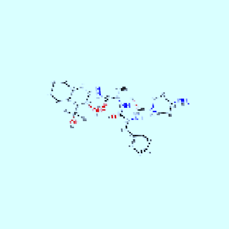 CCCC[C@H](NC(=O)[C@H](Cc1ccccc1)NC(=O)N1CCC(N)CC1)C(=O)N[C@@H](CC1CCCCC1)[C@@H](O)CC(C)(C)O